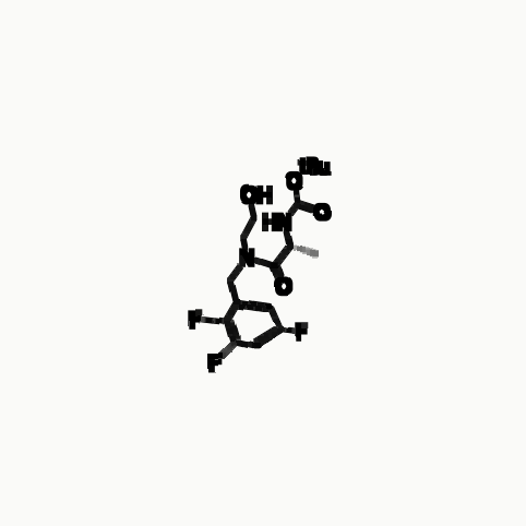 C[C@@H](NC(=O)OC(C)(C)C)C(=O)N(CCO)Cc1cc(F)cc(F)c1F